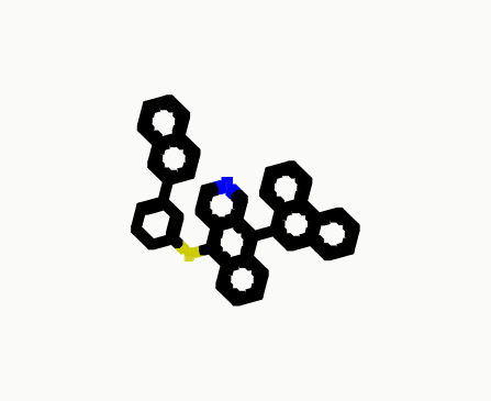 C1=C(Sc2c3ccccc3c(-c3cc4ccccc4c4ccccc34)c3cnccc23)CCC=C1c1ccc2ccccc2c1